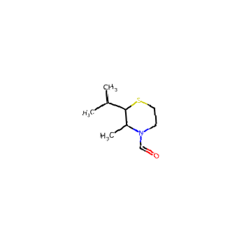 CC(C)C1SCCN(C=O)C1C